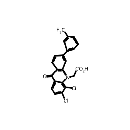 O=C(O)Cn1c2cc(-c3cccc(C(F)(F)F)c3)ccc2c(=O)c2ccc(Cl)c(Cl)c21